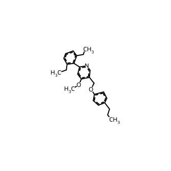 CCCc1ccc(OCc2cnc(-c3c(CC)cccc3CC)cc2OC)cc1